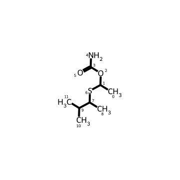 CC(OC(N)=O)SC(C)C(C)C